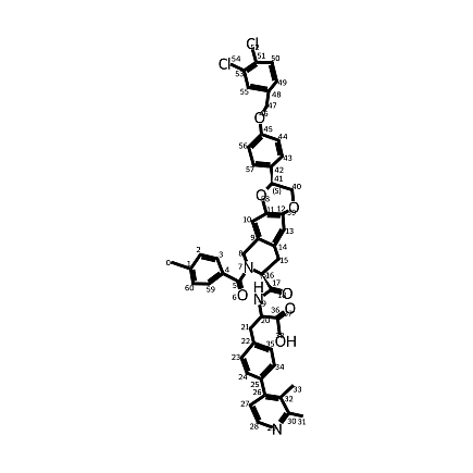 Cc1ccc(C(=O)N2Cc3cc4c(cc3C[C@H]2C(=O)NC(Cc2ccc(-c3ccnc(C)c3C)cc2)C(=O)O)OC[C@H](c2ccc(OCc3ccc(Cl)c(Cl)c3)cc2)O4)cc1